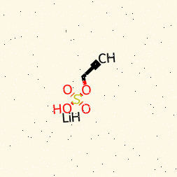 C#CCOS(=O)(=O)O.[LiH]